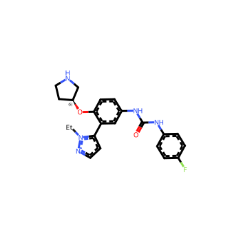 CCn1nccc1-c1cc(NC(=O)Nc2ccc(F)cc2)ccc1O[C@H]1CCNC1